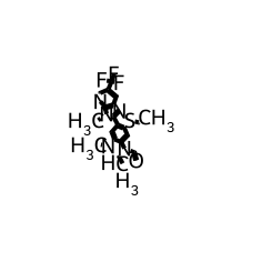 CCSc1cc(N(C=O)CC)c(NC)cc1-c1nc2cc(C(F)(F)F)cnc2n1C